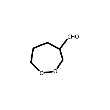 O=CC1CCCOOC1